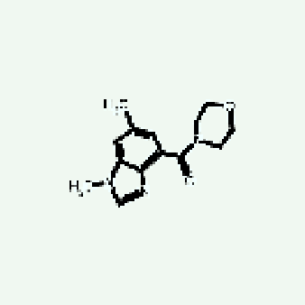 Cc1cc(C(=O)N2CCOCC2)c2ncn(C)c2c1